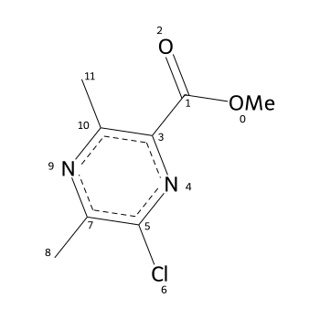 COC(=O)c1nc(Cl)c(C)nc1C